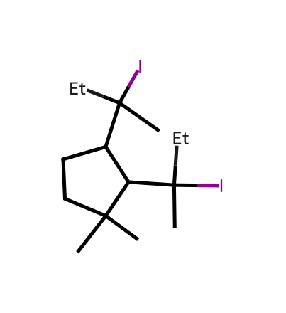 CCC(C)(I)C1CCC(C)(C)C1C(C)(I)CC